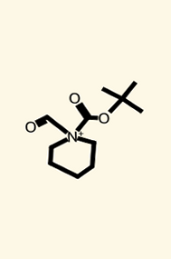 CC(C)(C)OC(=O)[N+]1(C=O)CCCCC1